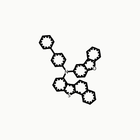 c1ccc(-c2ccc(N(c3ccc4oc5ccccc5c4c3)c3cccc4sc5c6ccccc6ccc5c34)cc2)cc1